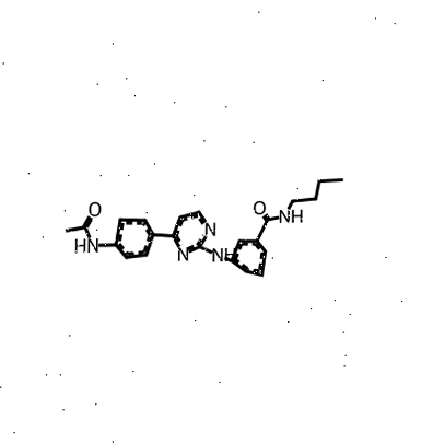 CCCCNC(=O)c1cccc(Nc2nccc(-c3ccc(NC(C)=O)cc3)n2)c1